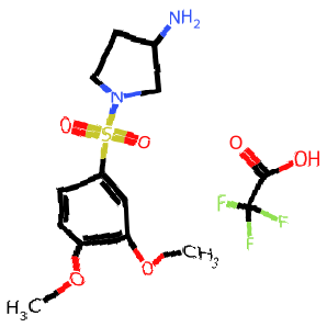 COc1ccc(S(=O)(=O)N2CCC(N)C2)cc1OC.O=C(O)C(F)(F)F